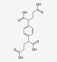 O=C(O)CCC(C(=O)O)c1ccc(C(CCC(=O)O)C(=O)O)cc1